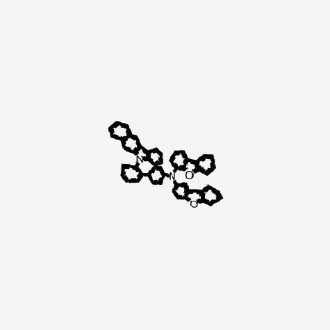 c1ccc(-n2c3ccccc3c3cc4ccccc4cc32)c(-c2ccc(N(c3ccc4oc5ccccc5c4c3)c3cccc4c3oc3ccccc34)cc2)c1